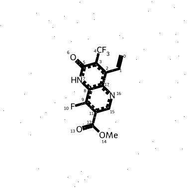 C=Cc1c(C(F)(F)F)c(=O)[nH]c2c(F)c(C(=O)OC)cnc12